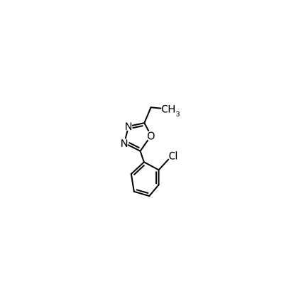 CCc1nnc(-c2ccccc2Cl)o1